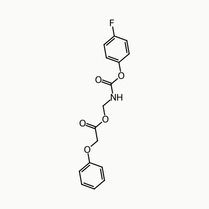 O=C(COc1ccccc1)OCNC(=O)Oc1ccc(F)cc1